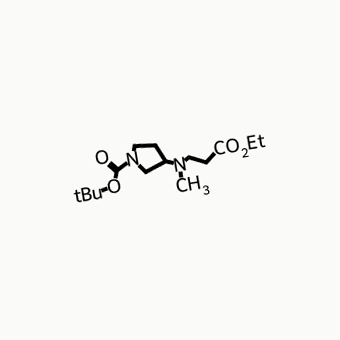 CCOC(=O)CCN(C)C1CCN(C(=O)OC(C)(C)C)C1